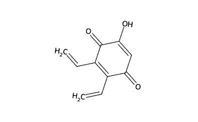 C=CC1=C(C=C)C(=O)C(O)=CC1=O